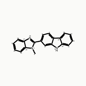 Cn1c(-c2ccc3c(c2)[nH]c2ccccc23)nc2ccccc21